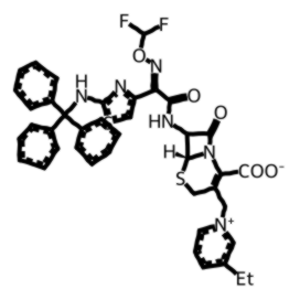 CCc1ccc[n+](CC2=C(C(=O)[O-])N3C(=O)C(NC(=O)/C(=N/OC(F)F)c4csc(NC(c5ccccc5)(c5ccccc5)c5ccccc5)n4)[C@H]3SC2)c1